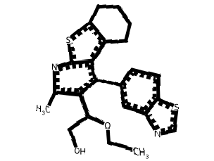 CCOC(CO)c1c(C)nc2sc3c(c2c1-c1ccc2scnc2c1)CCCC3